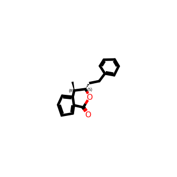 C[C@@H]1c2ccccc2C(=O)O[C@H]1CCc1ccccc1